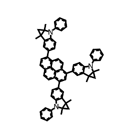 CC12CC1(C)N(c1ccccc1)c1ccc(-c3ccc4ccc5c(-c6ccc7c(c6)C6(C)CC6(C)N7c6ccccc6)cc(-c6ccc7c(c6)C6(C)CC6(C)N7c6ccccc6)c6ccc3c4c56)cc12